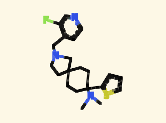 CN(C)C1(c2cccs2)CCC2(CCN(Cc3ccncc3F)C2)CC1